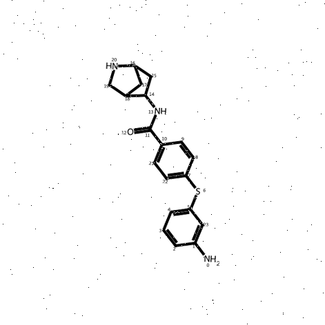 Nc1cccc(Sc2ccc(C(=O)NC3CC4CC3CN4)cc2)c1